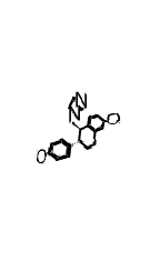 COc1ccc([C@H]2CCc3cc(OC)ccc3[C@@H]2Cn2ccnc2)cc1